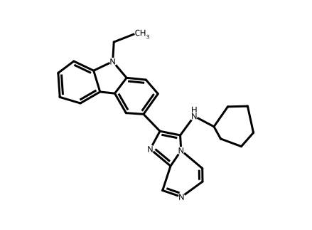 CCn1c2ccccc2c2cc(-c3nc4cnccn4c3NC3CCCCC3)ccc21